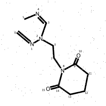 C=NN(/C=N\C)CCN1C(=O)CCCC1=O